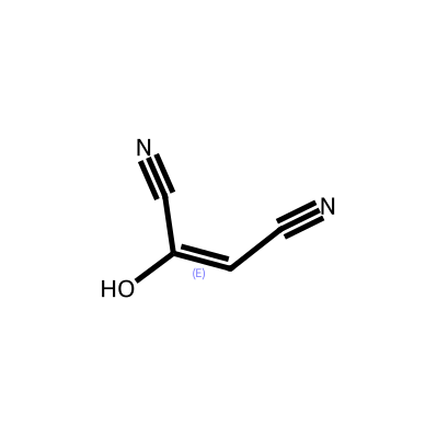 N#C/C=C(/O)C#N